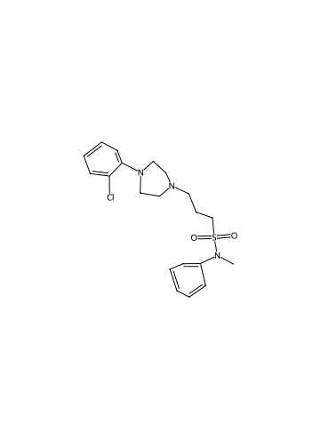 CN(c1ccccc1)S(=O)(=O)CCCN1CCN(c2ccccc2Cl)CC1